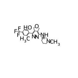 Cc1cc(C(F)(F)F)cc(O)c1-c1nnc(N[C@@H]2CCCN(C)C2)c2c1COC2